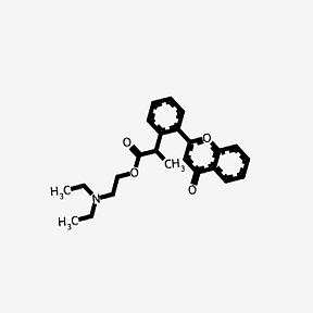 CCN(CC)CCOC(=O)C(C)c1ccccc1-c1cc(=O)c2ccccc2o1